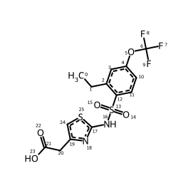 CCc1cc(OC(F)(F)F)ccc1S(=O)(=O)Nc1nc(CC(=O)O)cs1